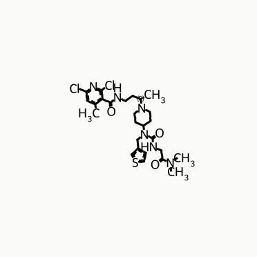 Cc1cc(Cl)nc(Cl)c1C(=O)NCC[C@@H](C)N1CCC(N(Cc2ccsc2)C(=O)NCC(=O)N(C)C)CC1